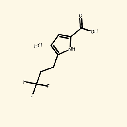 Cl.O=C(O)c1ccc(CCC(F)(F)F)[nH]1